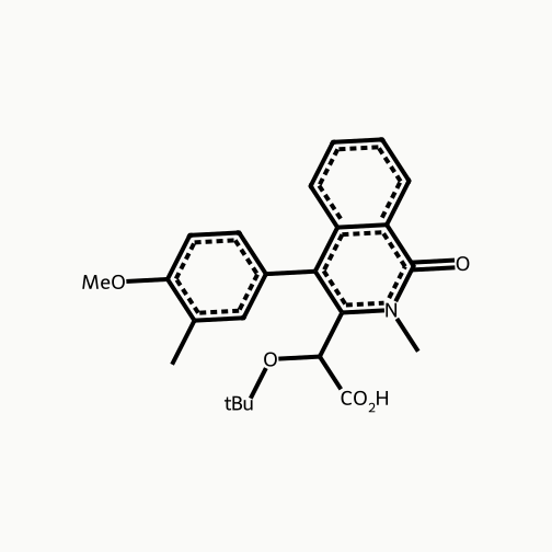 COc1ccc(-c2c(C(OC(C)(C)C)C(=O)O)n(C)c(=O)c3ccccc23)cc1C